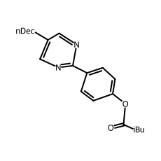 CCCCCCCCCCc1cnc(-c2ccc(OC(=O)C(C)CC)cc2)nc1